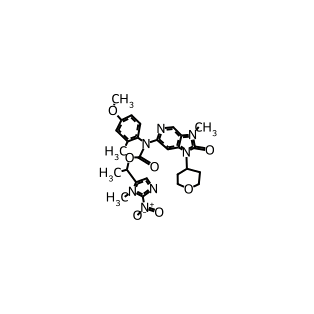 COc1ccc(N(C(=O)OC(C)c2cnc([N+](=O)[O-])n2C)c2cc3c(cn2)n(C)c(=O)n3C2CCOCC2)c(C)c1